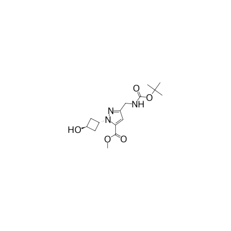 COC(=O)c1cc(CNC(=O)OC(C)(C)C)nn1[C@H]1C[C@H](O)C1